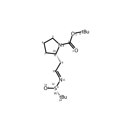 CC(C)(C)OC(=O)N1CCC[C@H]1CC=N[S@@+]([O-])C(C)(C)C